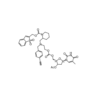 C#Cc1ccc(CN(CCOC(=O)OC[C@H]2O[C@@H](n3cc(C)c(=O)[nH]c3=O)CC2OC(C)=O)CC2CCCCN2C(=O)OCC2=Cc3ccccc3S2(=O)=O)cc1